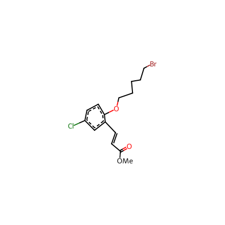 COC(=O)C=Cc1cc(Cl)ccc1OCCCCCBr